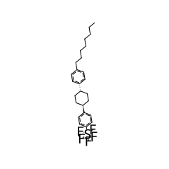 CCCCCCCCc1ccc([C@H]2CC[C@H](c3ccc(S(F)(F)(F)(F)F)cc3)CC2)cc1